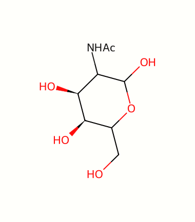 CC(=O)NC1C(O)OC(CO)[C@@H](O)[C@H]1O